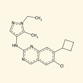 CCn1ncc(Nc2ncc3cc(Cl)c(C4CCC4)cc3n2)c1C